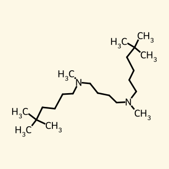 CN(CCCCN(C)CCCCC(C)(C)C)CCCCC(C)(C)C